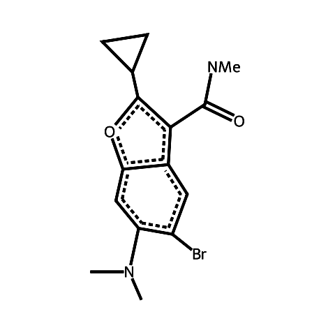 CNC(=O)c1c(C2CC2)oc2cc(N(C)C)c(Br)cc12